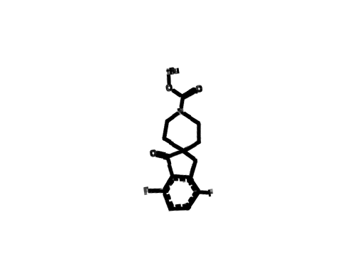 CC(C)(C)OC(=O)N1CCC2(CC1)Cc1c(F)ccc(F)c1C2=O